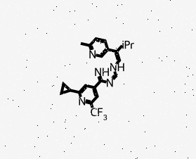 Cc1ccc(/C(=C\N/C=N\C(=N)c2cc(C3CC3)nc(C(F)(F)F)c2)C(C)C)cn1